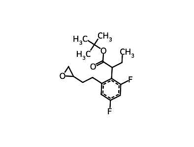 CCC(C(=O)OC(C)(C)C)c1c(F)cc(F)cc1CCC1CO1